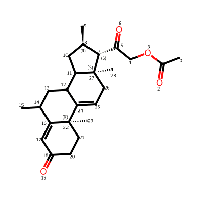 CC(=O)OCC(=O)[C@H]1[C@H](C)CC2C3CC(C)C4=CC(=O)CC[C@]4(C)C3=CC[C@@]21C